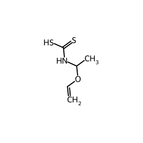 C=COC(C)NC(=S)S